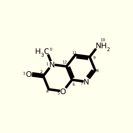 CN1C(=O)COc2ncc(N)cc21